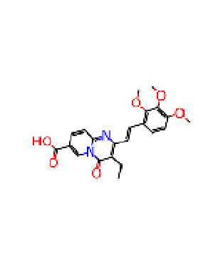 CCc1c(C=Cc2ccc(OC)c(OC)c2OC)nc2ccc(C(=O)O)cn2c1=O